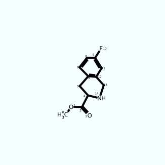 COC(=O)C1Cc2ccc(F)cc2CN1